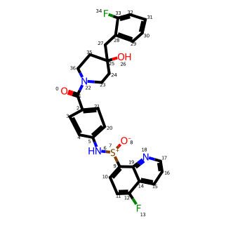 O=C(c1ccc(N[S+]([O-])c2ccc(F)c3cccnc23)cc1)N1CCC(O)(Cc2ccccc2F)CC1